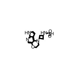 O=[SH](=O)N[C@H]1C[C@@H](N2CCOc3cnc4[nH]ccc4c32)C1